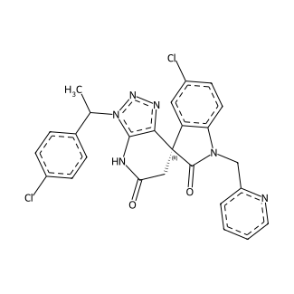 CC(c1ccc(Cl)cc1)n1nnc2c1NC(=O)C[C@]21C(=O)N(Cc2ccccn2)c2ccc(Cl)cc21